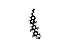 C=CCCc1ccc2c(F)c(-c3cc(F)c(-c4cc(F)c(OC(F)F)c(F)c4)c(F)c3)ccc2c1